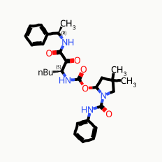 CCCC[C@H](NC(=O)OC1CC(C)(C)CN1C(=O)Nc1ccccc1)C(=O)C(=O)N[C@H](C)c1ccccc1